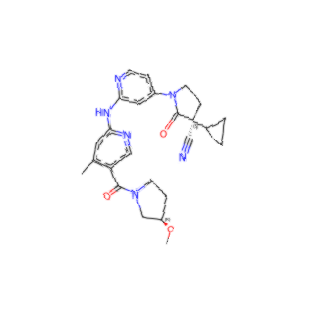 CO[C@@H]1CCN(C(=O)c2cnc(Nc3cc(N4CC[C@@](C#N)(C5CC5)C4=O)ccn3)cc2C)C1